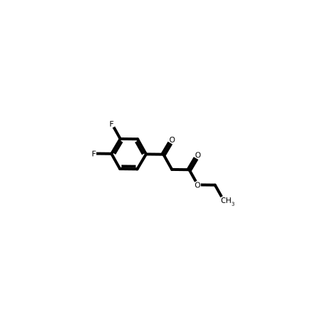 CCOC(=O)CC(=O)c1ccc(F)c(F)c1